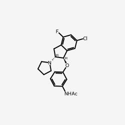 CC(=O)Nc1cccc(O[C@@H]2c3cc(Cl)cc(F)c3C[C@H]2N2CCCC2)c1